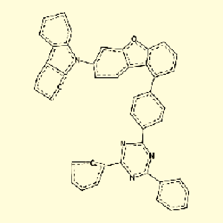 c1ccc(-c2nc(-c3ccccc3)nc(-c3ccc(-c4cccc5oc6cc(-n7c8ccccc8c8ccccc87)ccc6c45)cc3)n2)cc1